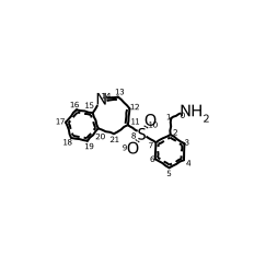 NCc1ccccc1S(=O)(=O)C1=CC=Nc2ccccc2C1